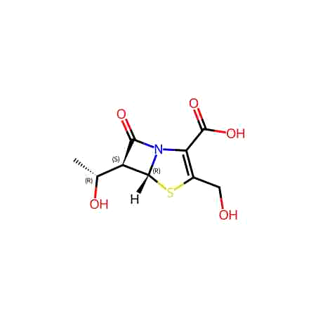 C[C@@H](O)[C@H]1C(=O)N2C(C(=O)O)=C(CO)S[C@H]12